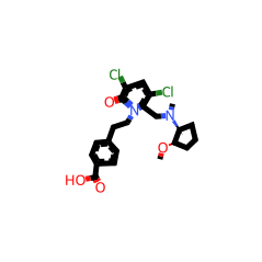 CO[C@H]1CCC[C@@H]1N(C)Cc1c(Cl)cc(Cl)c(=O)n1CCc1ccc(C(=O)O)cc1